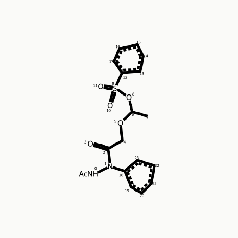 CC(=O)NN(C(=O)COC(C)OS(=O)(=O)c1ccccc1)c1ccccc1